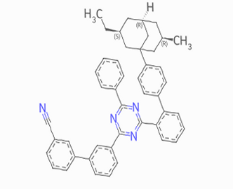 CC[C@H]1C[C@H]2C[C@@H](C)CC(c3ccc(-c4ccccc4-c4nc(-c5ccccc5)nc(-c5cccc(-c6cccc(C#N)c6)c5)n4)cc3)(C2)C1